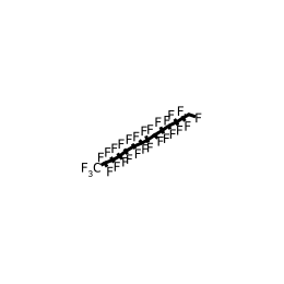 F[CH]C(F)(F)C(F)(F)C(F)(F)C(F)(F)C(F)(F)C(F)(F)C(F)(F)C(F)(F)C(F)(F)C(F)(F)C(F)(F)C(F)(F)C(F)(F)F